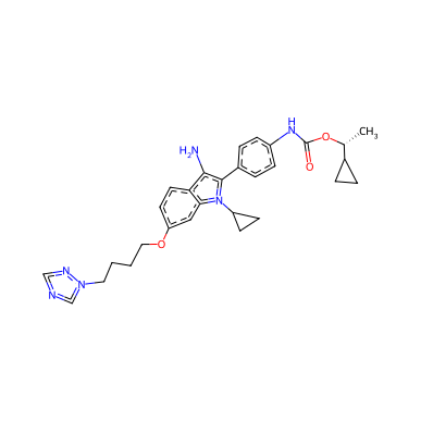 C[C@@H](OC(=O)Nc1ccc(-c2c(N)c3ccc(OCCCCn4cncn4)cc3n2C2CC2)cc1)C1CC1